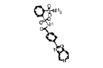 NS(=O)(=O)c1ccccc1S(=O)(=O)NC(=O)c1ccc(-c2nc3cnccc3o2)cc1